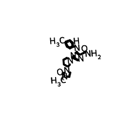 Cc1ccc(Nc2nc(N3CCCC(N4CCN(C)C4=O)C3)cnc2C(N)=O)cc1